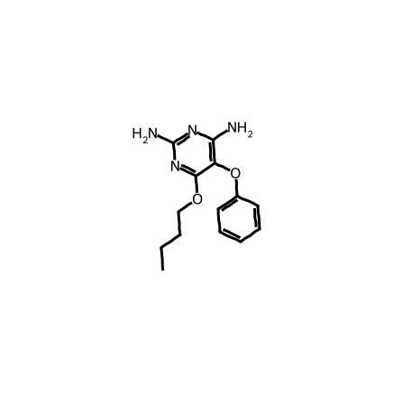 CCCCOc1nc(N)nc(N)c1Oc1ccccc1